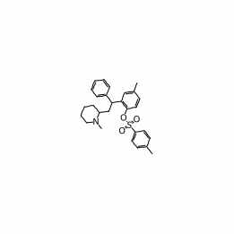 Cc1ccc(S(=O)(=O)Oc2ccc(C)cc2C(CC2CCCCN2C)c2ccccc2)cc1